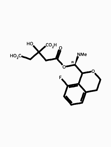 CN[C@H](OC(=O)CC(O)(CC(=O)O)C(=O)O)C1OCCc2cccc(F)c21